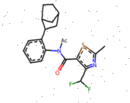 CC(=O)N(C(=O)c1sc(C)nc1C(F)F)c1ccccc1C1CC2CCC1C2